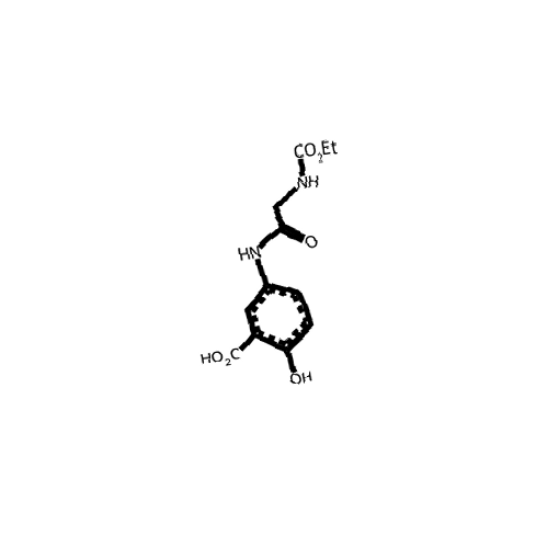 CCOC(=O)NCC(=O)Nc1ccc(O)c(C(=O)O)c1